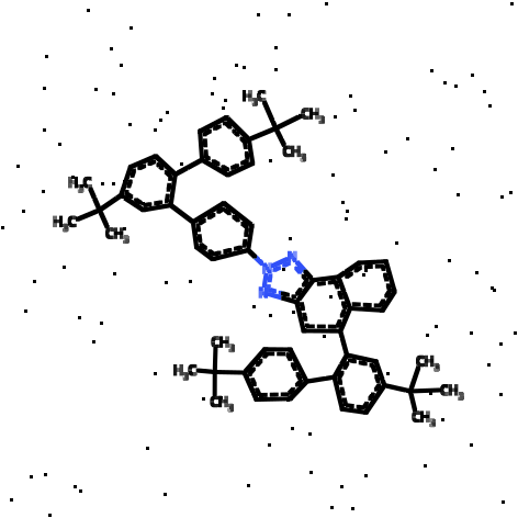 CC(C)(C)c1ccc(-c2ccc(C(C)(C)C)cc2-c2ccc(-n3nc4cc(-c5cc(C(C)(C)C)ccc5-c5ccc(C(C)(C)C)cc5)c5ccccc5c4n3)cc2)cc1